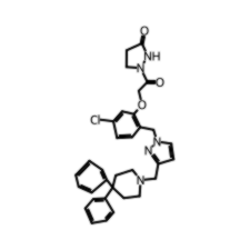 O=C1CCN(C(=O)COc2cc(Cl)ccc2Cn2ccc(CN3CCC(c4ccccc4)(c4ccccc4)CC3)n2)N1